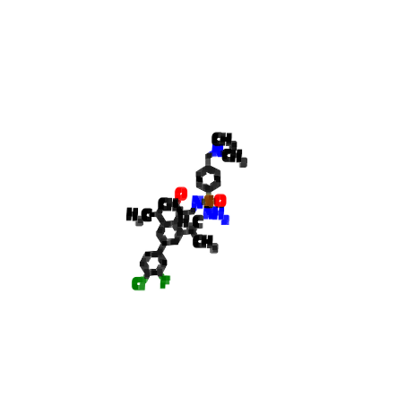 CC(C)c1cc(-c2ccc(Cl)c(F)c2)cc(C(C)C)c1C(C=O)CN=S(N)(=O)c1ccc(CN(C)C)cc1